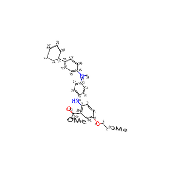 COCCOc1ccc(Nc2ccc(N(C)c3ccc(C4CCCCC4)cc3)cc2)c(C(=O)OC)c1